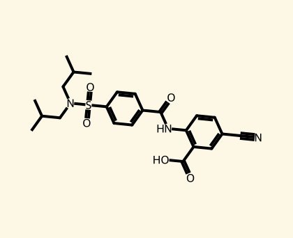 CC(C)CN(CC(C)C)S(=O)(=O)c1ccc(C(=O)Nc2ccc(C#N)cc2C(=O)O)cc1